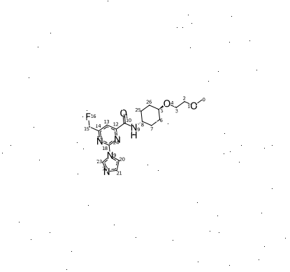 COCCO[C@H]1CC[C@H](NC(=O)c2cc(CF)nc(-n3ccnc3)n2)CC1